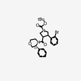 CC(C)(C)OC(=O)N1CC(C(=O)N2CCOC[C@@H]2c2ccccc2)C(c2ccccc2Br)C1